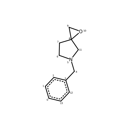 c1ccc(CN2CCC3(CO3)C2)cc1